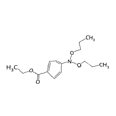 CCCON(OCCC)c1ccc(C(=O)OCC)cc1